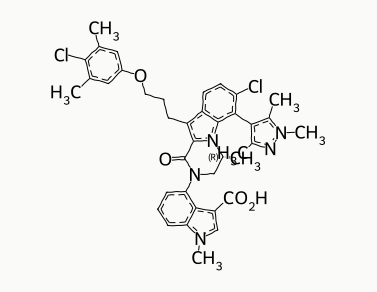 Cc1cc(OCCCc2c3n(c4c(-c5c(C)nn(C)c5C)c(Cl)ccc24)[C@H](C)CN(c2cccc4c2c(C(=O)O)cn4C)C3=O)cc(C)c1Cl